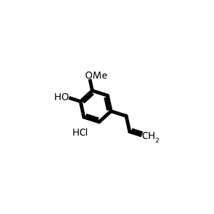 C=CCc1ccc(O)c(OC)c1.Cl